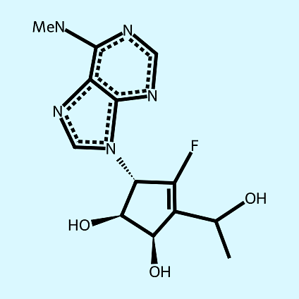 CNc1ncnc2c1ncn2[C@@H]1C(F)=C(C(C)O)[C@@H](O)[C@H]1O